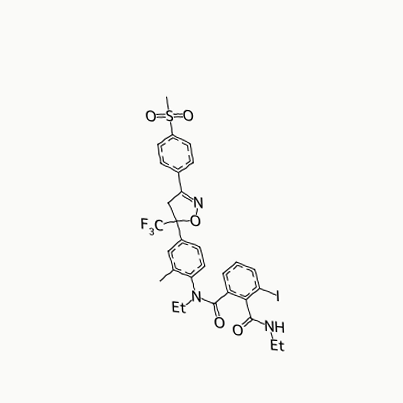 CCNC(=O)c1c(I)cccc1C(=O)N(CC)c1ccc(C2(C(F)(F)F)CC(c3ccc(S(C)(=O)=O)cc3)=NO2)cc1C